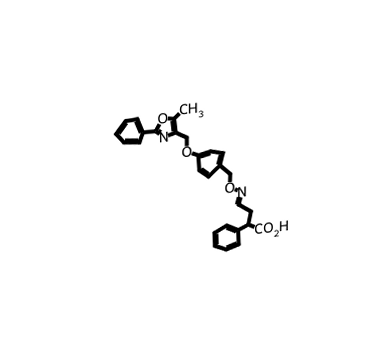 Cc1oc(-c2ccccc2)nc1COc1ccc(CO/N=C/CC(C(=O)O)c2ccccc2)cc1